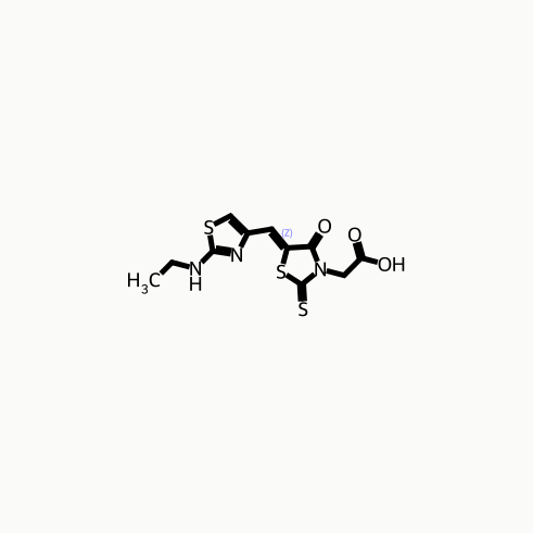 CCNc1nc(/C=C2\SC(=S)N(CC(=O)O)C2=O)cs1